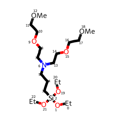 CCO[Si](CCCN(CCOCCOC)CCOCCOC)(OCC)OCC